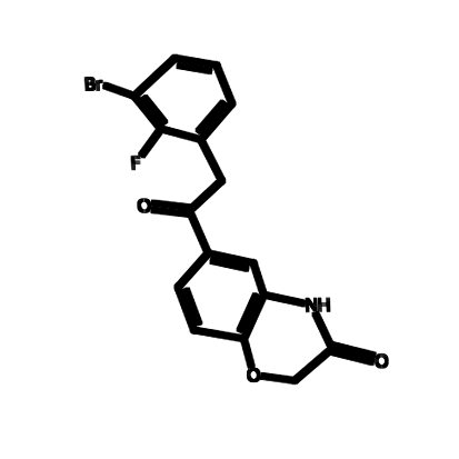 O=C1COc2ccc(C(=O)Cc3cccc(Br)c3F)cc2N1